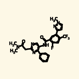 CN(C)C(=O)Cc1ncc(NC(=O)c2cc(-c3ccn(C)n3)c(C(F)(F)F)cc2F)c(-c2ccccc2)n1